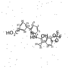 Cc1ccc(NC(O)C2(c3ccc4c(c3)OC(F)(F)O4)CC2)nc1-c1cccc(C(=O)O)c1